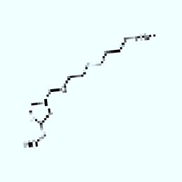 CCCCCCCCCCCCCCCCOCC1COC(CO)C1